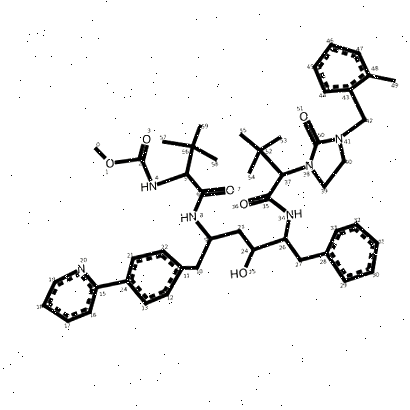 COC(=O)NC(C(=O)NC(Cc1ccc(-c2ccccn2)cc1)CC(O)C(Cc1ccccc1)NC(=O)C(N1CCN(Cc2ccccc2C)C1=O)C(C)(C)C)C(C)(C)C